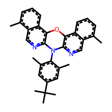 Cc1cc(C(C)(C)C)cc(C)c1N1c2ncc3c(C)cccc3c2Oc2c1ncc1c(C)cccc21